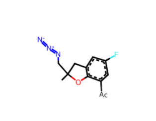 CC(=O)c1cc(F)cc2c1OC(C)(CN=[N+]=[N-])C2